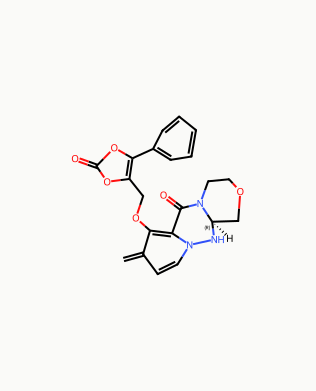 C=C1C=CN2N[C@@H]3COCCN3C(=O)C2=C1OCc1oc(=O)oc1-c1ccccc1